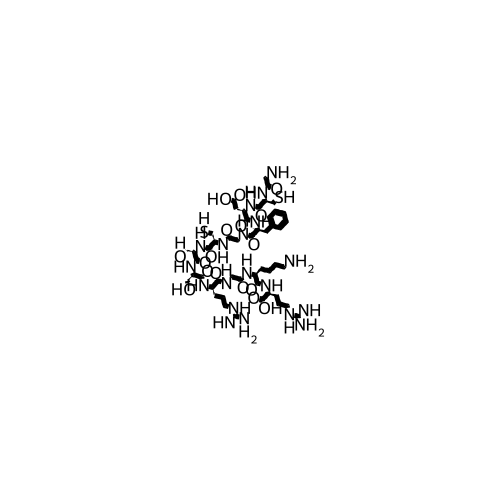 N=C(N)NCCC[C@H](NC(=O)[C@H](CCCCN)NC(=O)CNC(=O)[C@H](CCCNC(=N)N)NC(=O)[C@H](CO)NC(=O)[C@H](CO)NC(=O)[C@H](CS)NC(=O)CNC(=O)[C@H](Cc1ccccc1)NC(=O)[C@H](CC(=O)O)NC(=O)[C@H](CS)NC(=O)CN)C(=O)O